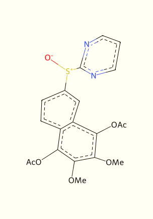 COc1c(OC)c(OC(C)=O)c2cc([S+]([O-])c3ncccn3)ccc2c1OC(C)=O